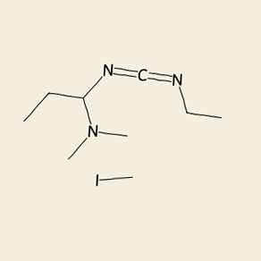 CCN=C=NC(CC)N(C)C.CI